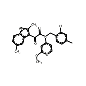 COc1cc(N(Cc2ccc(F)cc2Cl)C(=O)C(=O)c2c(C)[nH]c3ccc(C)cc23)ccn1